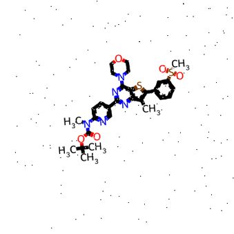 Cc1c(-c2cccc(S(C)(=O)=O)c2)sc2c(N3CCOCC3)nc(-c3ccc(N(C)C(=O)OC(C)(C)C)nc3)nc12